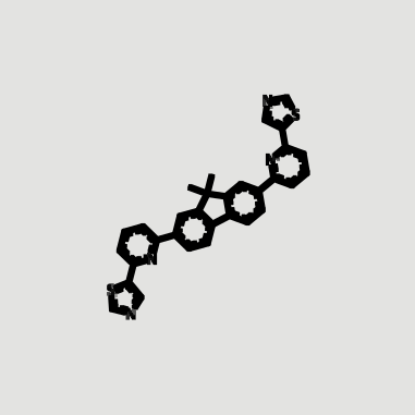 CC1(C)c2cc(-c3cccc(-c4cncs4)n3)ccc2-c2ccc(-c3cccc(-c4cncs4)n3)cc21